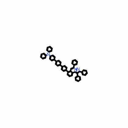 c1ccc(-c2nn3c(-c4ccccc4)cc4c(-c5ccc(-c6ccc(-c7ccc(N(c8ccccc8)c8ccccc8)cc7)cc6)cc5)cccc4c3c2-c2ccccc2)cc1